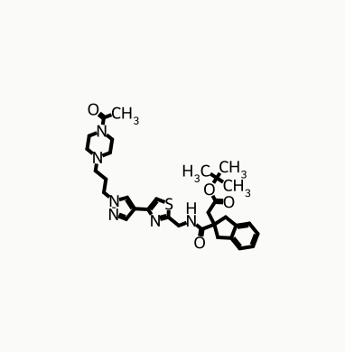 CC(=O)N1CCN(CCCn2cc(-c3csc(CNC(=O)C4(CC(=O)OC(C)(C)C)Cc5ccccc5C4)n3)cn2)CC1